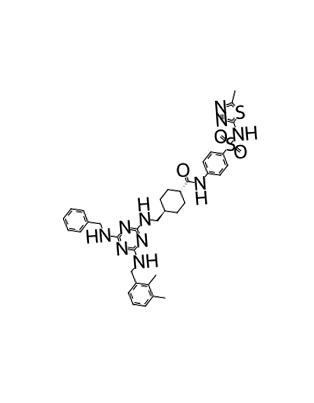 Cc1nnc(NS(=O)(=O)c2ccc(NC(=O)[C@H]3CC[C@H](CNc4nc(NCc5ccccc5)nc(NCc5cccc(C)c5C)n4)CC3)cc2)s1